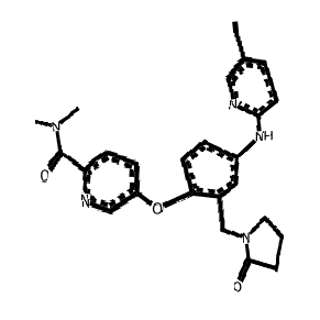 Cc1ccc(Nc2ccc(Oc3ccc(C(=O)N(C)C)nc3)c(CN3CCCC3=O)c2)nc1